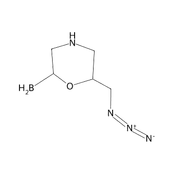 BC1CNCC(CN=[N+]=[N-])O1